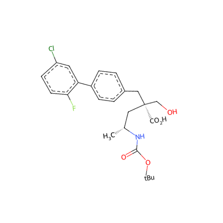 C[C@H](C[C@](CO)(Cc1ccc(-c2cc(Cl)ccc2F)cc1)C(=O)O)NC(=O)OC(C)(C)C